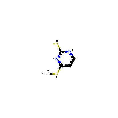 Sc1nccc(SC(Cl)(Cl)Cl)n1